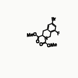 COC(=O)C1Cc2cc(Br)cc(F)c2CN1C(=O)OC